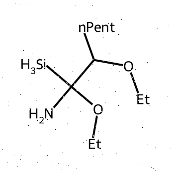 CCCCCC(OCC)C(N)([SiH3])OCC